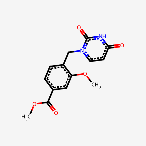 COC(=O)c1ccc(Cn2ccc(=O)[nH]c2=O)c(OC)c1